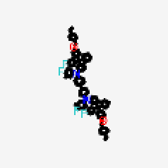 C=Cc1ccc(COc2ccc(C3(c4ccc(F)cc4)c4ccccc4-c4ccc(N(c5ccc(-c6ccc(N(c7ccc(F)c(C)c7)c7ccc8c(c7)C(c7ccc(F)cc7)(c7ccc(OCc9ccc(C=C)cc9)cc7)c7ccccc7-8)cc6)cc5)c5ccc(F)c(C)c5)cc43)cc2)cc1